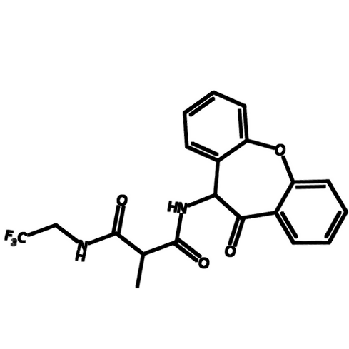 CC(C(=O)NCC(F)(F)F)C(=O)NC1C(=O)c2ccccc2Oc2ccccc21